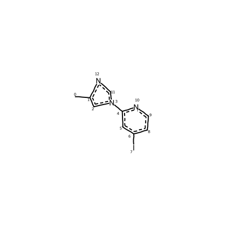 Cc1cn(-c2cc(I)ccn2)cn1